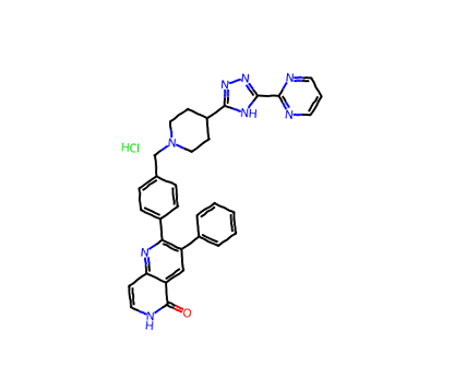 Cl.O=c1[nH]ccc2nc(-c3ccc(CN4CCC(c5nnc(-c6ncccn6)[nH]5)CC4)cc3)c(-c3ccccc3)cc12